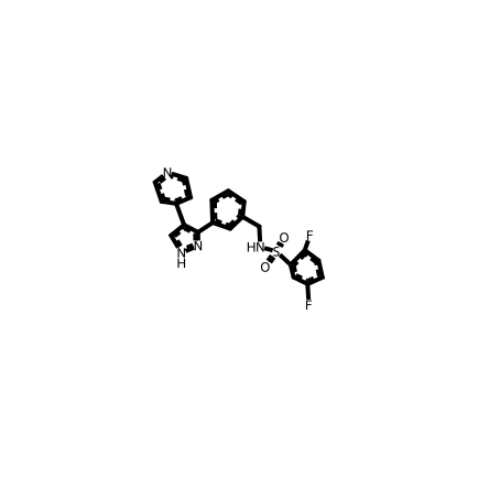 O=S(=O)(NCc1cccc(-c2n[nH]cc2-c2ccncc2)c1)c1cc(F)ccc1F